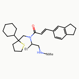 CCC(CNNC)N(CC1(C2CCCCC2)CCCS1)C(=O)/C=C/c1ccc2c(c1)CCC2